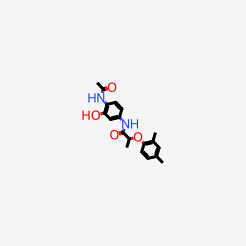 CC(=O)Nc1ccc(NC(=O)C(C)Oc2ccc(C)cc2C)cc1O